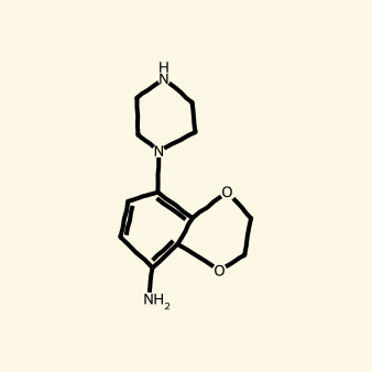 Nc1ccc(N2CCNCC2)c2c1OCCO2